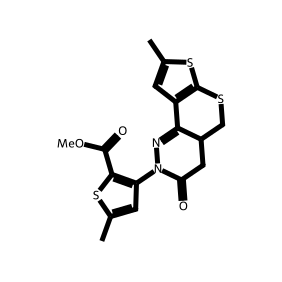 COC(=O)c1sc(C)cc1N1N=C2c3cc(C)sc3SCC2CC1=O